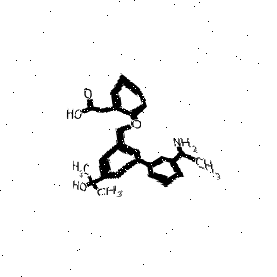 CC(N)c1cccc(-c2cc(COc3ccccc3CC(=O)O)cc(C(C)(C)O)c2)c1